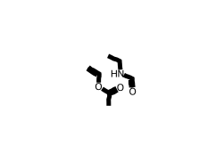 C=COC(C)=O.CCNC=O